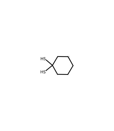 SC1(S)C[CH]CCC1